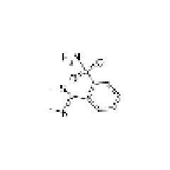 NS(=O)(=O)c1ccccc1C1=NCCS1